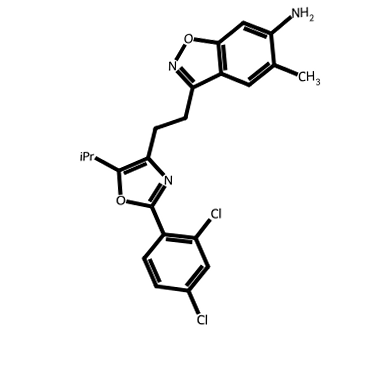 Cc1cc2c(CCc3nc(-c4ccc(Cl)cc4Cl)oc3C(C)C)noc2cc1N